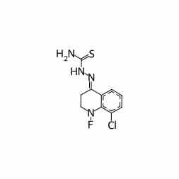 NC(=S)NN=C1CCN(F)c2c(Cl)cccc21